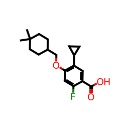 CC1(C)CCC(COc2cc(F)c(C(=O)O)cc2C2CC2)CC1